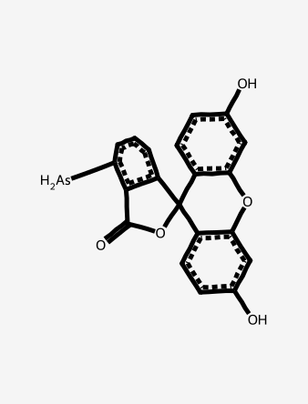 O=C1OC2(c3ccc(O)cc3Oc3cc(O)ccc32)c2cccc([AsH2])c21